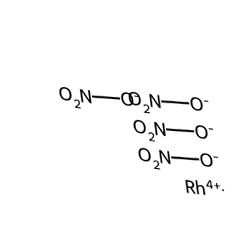 O=[N+]([O-])[O-].O=[N+]([O-])[O-].O=[N+]([O-])[O-].O=[N+]([O-])[O-].[Rh+4]